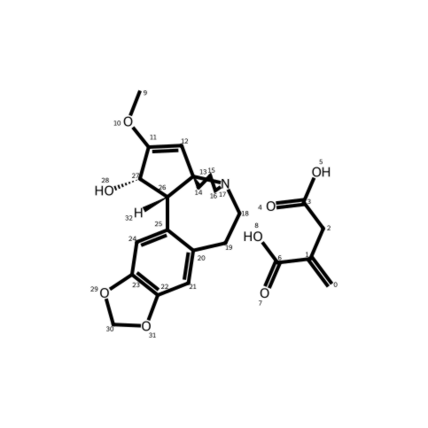 C=C(CC(=O)O)C(=O)O.COC1=C[C@]23CCCN2CCc2cc4c(cc2[C@@H]3[C@@H]1O)OCO4